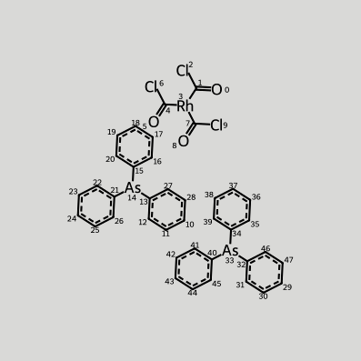 O=[C](Cl)[Rh]([C](=O)Cl)[C](=O)Cl.c1ccc([As](c2ccccc2)c2ccccc2)cc1.c1ccc([As](c2ccccc2)c2ccccc2)cc1